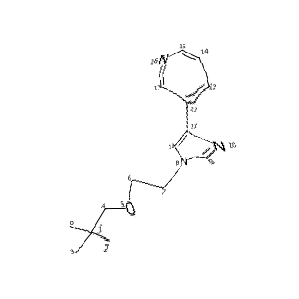 CC(C)(C)COCCn1cnc(-c2cccnc2)c1